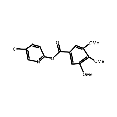 COc1cc(C(=O)Oc2c[c]c(Cl)cn2)cc(OC)c1OC